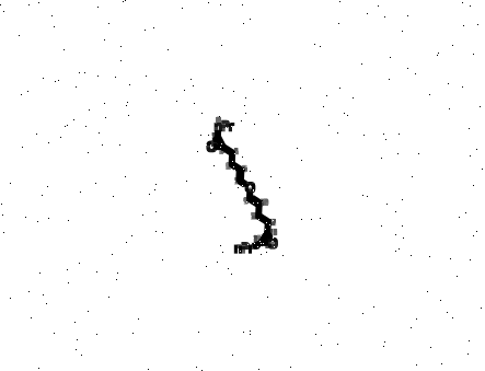 CCCC1OC1CCC=COC=CCCC1OC1CCC